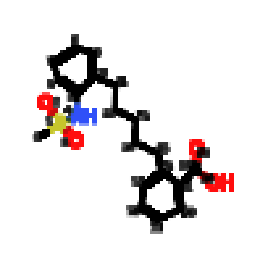 CS(=O)(=O)Nc1ccccc1CCCCCc1ccccc1C(=O)O